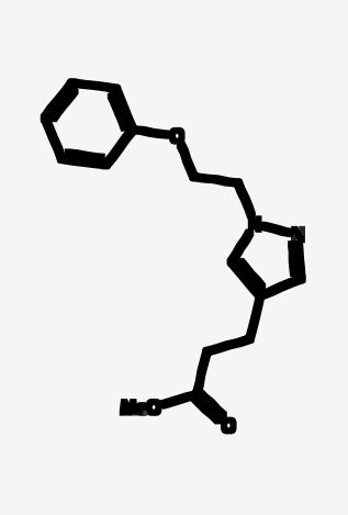 COC(=O)CCc1cnn(CCOc2ccccc2)c1